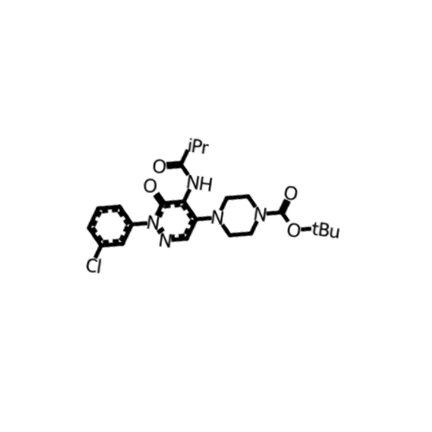 CC(C)C(=O)Nc1c(N2CCN(C(=O)OC(C)(C)C)CC2)cnn(-c2cccc(Cl)c2)c1=O